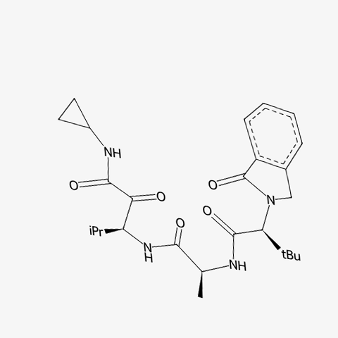 CC(C)[C@H](NC(=O)[C@H](C)NC(=O)[C@@H](N1Cc2ccccc2C1=O)C(C)(C)C)C(=O)C(=O)NC1CC1